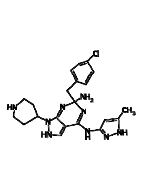 Cc1cc(NC2=NC(N)(Cc3ccc(Cl)cc3)N=C3C2=CNN3C2CCNCC2)n[nH]1